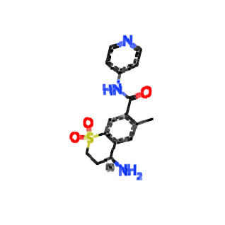 Cc1cc2c(cc1C(=O)Nc1ccncc1)S(=O)(=O)CC[C@@H]2N